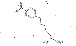 N=C(N)c1ccc(CCCCCC(C(=O)O)C(=O)O)cc1